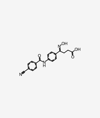 N#Cc1ccc(C(=O)Nc2ccc(C(CCC(=O)O)=NO)cc2)cc1